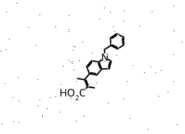 CC(C(=O)O)=C(C)c1ccc2c(ccn2Cc2ccccc2)c1